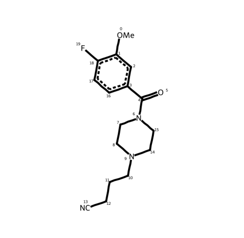 COc1cc(C(=O)N2CCN(CCCC#N)CC2)ccc1F